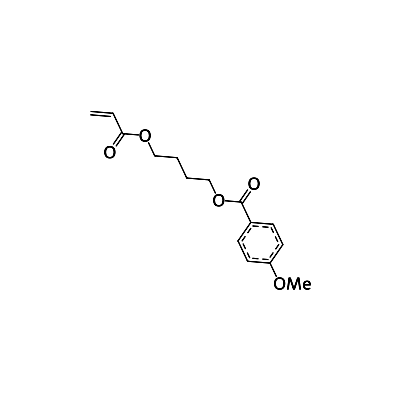 C=CC(=O)OCCCCOC(=O)c1ccc(OC)cc1